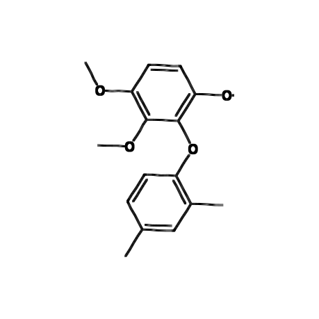 COc1ccc([O])c(Oc2ccc(C)cc2C)c1OC